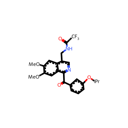 COc1cc2c(CNC(=O)C(F)(F)F)cnc(C(=O)c3cccc(OC(C)C)c3)c2cc1OC